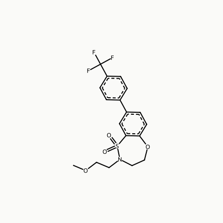 COCCN1CCOc2ccc(-c3ccc(C(F)(F)F)cc3)cc2S1(=O)=O